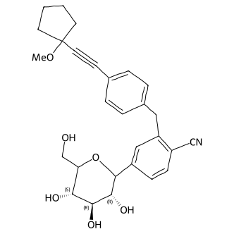 COC1(C#Cc2ccc(Cc3cc(C4OC(CO)[C@@H](O)[C@H](O)[C@H]4O)ccc3C#N)cc2)CCCC1